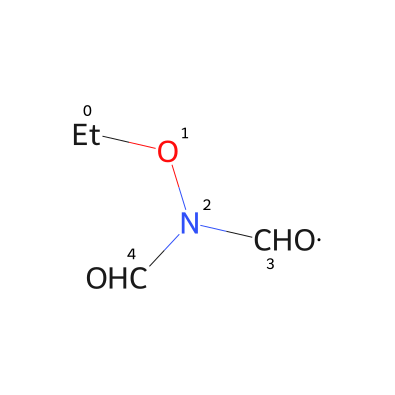 CCON([C]=O)C=O